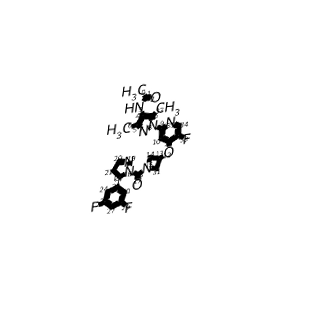 CC(=O)Nc1c(C)nn(-c2cc(OC3CN(C(=O)N4N=CC[C@H]4c4cc(F)cc(F)c4)C3)c(F)cn2)c1C